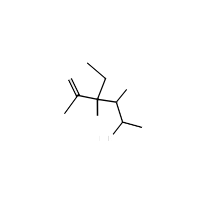 BC(C)C(C)C(C)(CC)C(=C)C